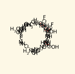 CC(=O)N[C@H]1CCCc2cn(nn2)-c2ccc(cc2)C[C@@H](C(N)=O)NC(=O)[C@]2(C)CCCN2C(=O)[C@H](Cc2ccc(O)cc2)NC(=O)[C@H](Cc2cnc[nH]2)NC(=O)[C@H](CC(=O)O)NC(=O)[C@H](Cc2c[nH]c3ccc(F)cc23)NC(=O)[C@H](Cc2c[nH]c3ccc(F)cc23)NC(=O)CNC(=O)[C@H](C)NC1=O